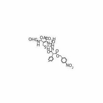 CC(=O)OC(NC=O)C1=C(C(=O)O)N2C(=O)[C@@H](NC(=O)C(C(=O)OCc3ccc([N+](=O)[O-])cc3)c3ccsc3)[C@H]2SC1